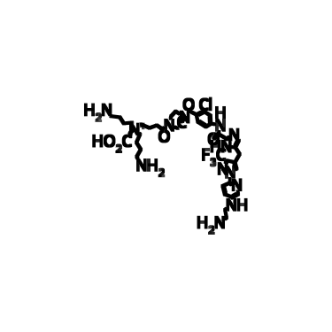 NCCCC[N+](CCCCN)(CCCC(=O)N1CCN(C(=O)c2ccc(NC(=O)c3ncc(Cc4cn(-c5ccc(NCCN)cn5)nc4C(F)(F)F)[nH]3)cc2Cl)CC1)CC(=O)O